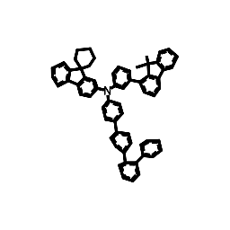 CC1(C)c2ccccc2-c2cccc(-c3cccc(N(c4ccc(-c5ccc(-c6ccccc6-c6ccccc6)cc5)cc4)c4ccc5c(c4)C4(CCCCC4)c4ccccc4-5)c3)c21